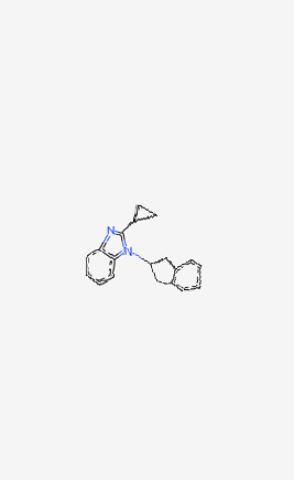 c1ccc2c(c1)CC(n1c(C3CC3)nc3ccccc31)C2